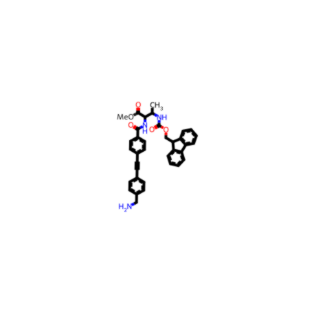 COC(=O)C(NC(=O)c1ccc(C#Cc2ccc(CN)cc2)cc1)C(C)NC(=O)OCC1c2ccccc2-c2ccccc21